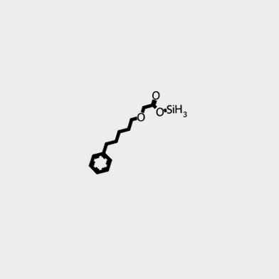 O=C(COCCCCCc1ccccc1)O[SiH3]